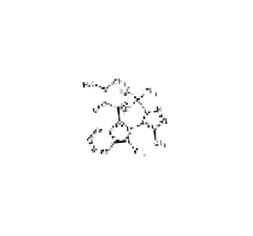 Cc1onc(C(C)(C)C)c1-c1c(C(=O)C(=O)N(C)C)c2ccccc2n1C